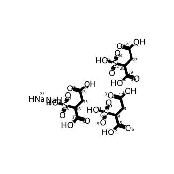 O=C(O)CC(C(=O)O)S(=O)(=O)O.O=C(O)CC(C(=O)O)S(=O)(=O)O.O=C(O)CC(C(=O)O)S(=O)(=O)O.[NaH].[NaH]